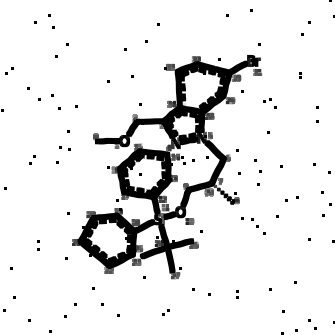 COCc1nn(C[C@H](C)CO[Si](c2ccccc2)(c2ccccc2)C(C)(C)C)c2cc(Br)ccc12